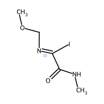 CNC(=O)/C(I)=N/COC